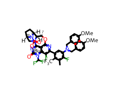 COc1ccc(CN(Cc2ccc(OC)cc2)c2cc(-c3nc4c5c(nc(=O)n(C(F)F)c5c3F)N3C[C@H]5CC[C@@H]([C@H]3[C@H](C)O4)N5C(=O)OC(C)(C)C)c(C(F)(F)F)c(C)c2F)cc1